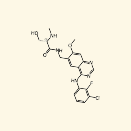 CN[C@@H](CO)C(=O)NCc1cc2c(Nc3cccc(Cl)c3F)ncnc2cc1OC